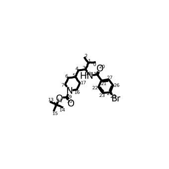 CC(C)C(CC1CCN(C(=O)OC(C)(C)C)CC1)NC(=O)c1ccc(Br)cc1